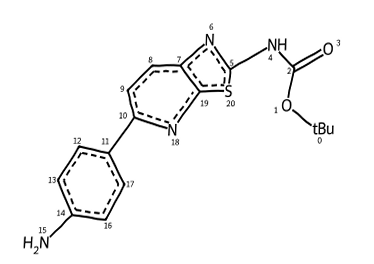 CC(C)(C)OC(=O)Nc1nc2ccc(-c3ccc(N)cc3)nc2s1